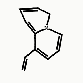 [CH]=CC1=[C]C=CN2CC=CC=C12